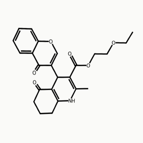 CCOCCOC(=O)C1=C(C)NC2=C(C(=O)CCC2)C1c1coc2ccccc2c1=O